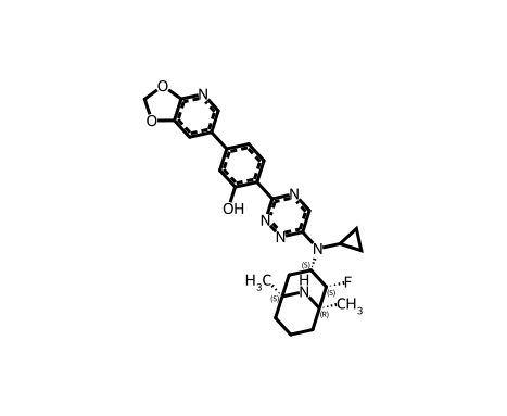 C[C@@]12CCC[C@@](C)(N1)[C@@H](F)[C@@H](N(c1cnc(-c3ccc(-c4cnc5c(c4)OCO5)cc3O)nn1)C1CC1)C2